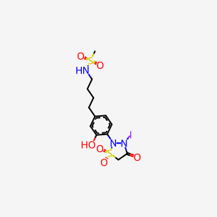 CS(=O)(=O)NCCCCc1ccc(N2N(I)C(=O)CS2(=O)=O)c(O)c1